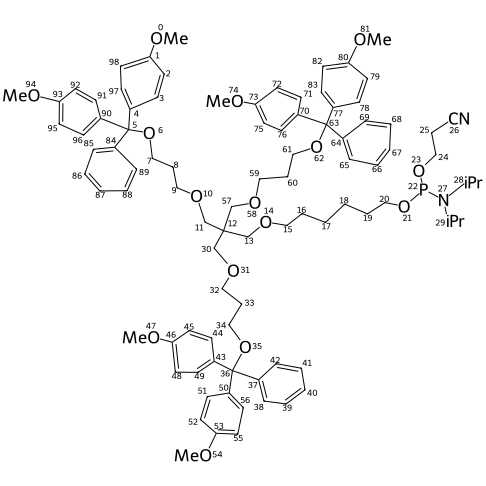 COc1ccc(C(OCCCOCC(COCCCCCCOP(OCCC#N)N(C(C)C)C(C)C)(COCCCOC(c2ccccc2)(c2ccc(OC)cc2)c2ccc(OC)cc2)COCCCOC(c2ccccc2)(c2ccc(OC)cc2)c2ccc(OC)cc2)(c2ccccc2)c2ccc(OC)cc2)cc1